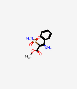 COC(=O)C(=C(N)c1ccccc1)S(N)(=O)=O